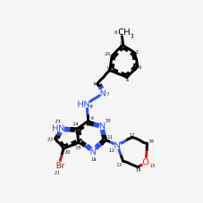 Cc1cccc(C=NNc2nc(N3CCOCC3)nc3c(Br)c[nH]c23)c1